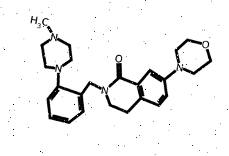 CN1CCN(c2ccccc2CN2CCc3ccc(N4CCOCC4)cc3C2=O)CC1